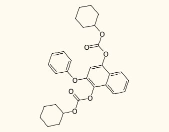 O=C(Oc1cc(Oc2ccccc2)c(OC(=O)OC2CCCCC2)c2ccccc12)OC1CCCCC1